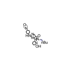 CCCC/C=C\Cn1c(=O)c2cnc(Nc3ccc(N4CCOCC4)cc3)nc2n1-c1cccc(O)n1